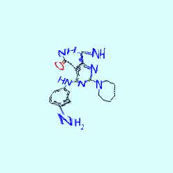 N=Cc1nc(N2CCCCCC2)nc(Nc2ccc(N)cc2)c1C(N)=O